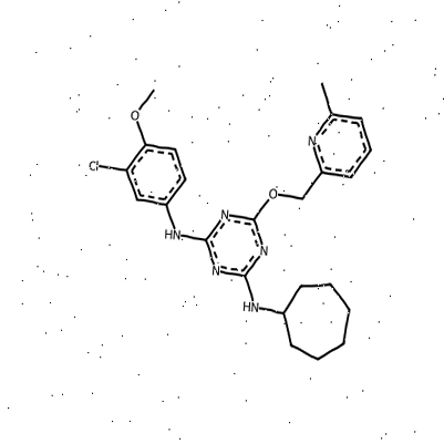 COc1ccc(Nc2nc(NC3CCCCCC3)nc(OCc3cccc(C)n3)n2)cc1Cl